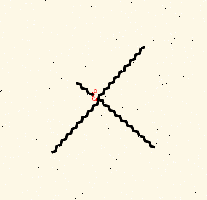 CCCCCCCCCCCCCCCCCCCC(CCCCCCCCCCCCCCCCCC)(CCCCCCCCCCCCCCCCCC)OC(=O)CCCCC